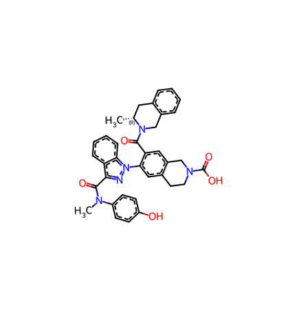 C[C@@H]1Cc2ccccc2CN1C(=O)c1cc2c(cc1-n1nc(C(=O)N(C)c3ccc(O)cc3)c3ccccc31)CCN(C(=O)O)C2